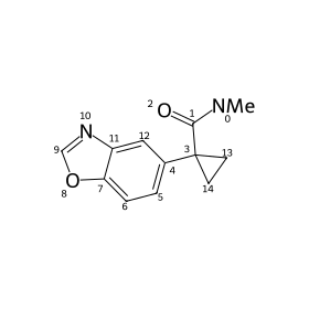 CNC(=O)C1(c2ccc3ocnc3c2)CC1